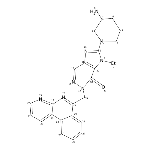 CCn1c(N2CCCC(N)C2)nc2cnn(Cc3nc4ncccc4c4ccccc34)c(=O)c21